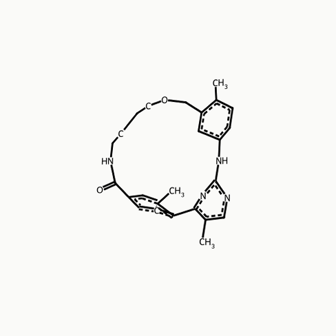 Cc1ccc2cc1COCCCCNC(=O)c1ccc(c(C)c1)-c1nc(ncc1C)N2